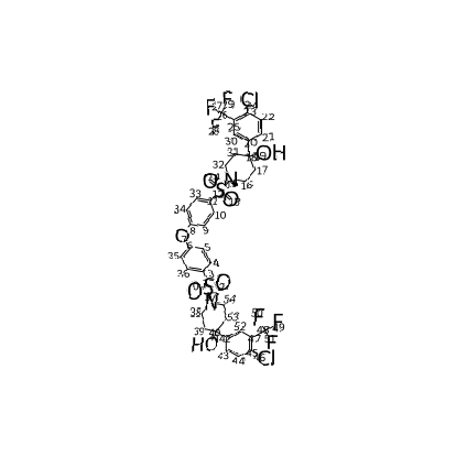 O=S(=O)(c1ccc(Oc2ccc(S(=O)(=O)N3CCC(O)(c4ccc(Cl)c(C(F)(F)F)c4)CC3)cc2)cc1)N1CCC(O)(c2ccc(Cl)c(C(F)(F)F)c2)CC1